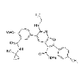 CNC(=O)c1c(-c2ccc(C)cc2)oc2nc(NCC(F)(F)F)c(-c3ccc(OC)c(C(=O)NC4(C#N)CC4)c3)cc12